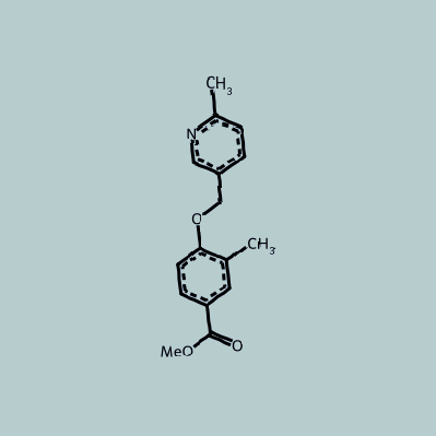 COC(=O)c1ccc(OCc2ccc(C)nc2)c(C)c1